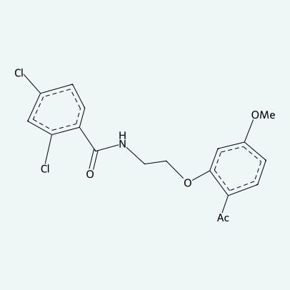 COc1ccc(C(C)=O)c(OCCNC(=O)c2ccc(Cl)cc2Cl)c1